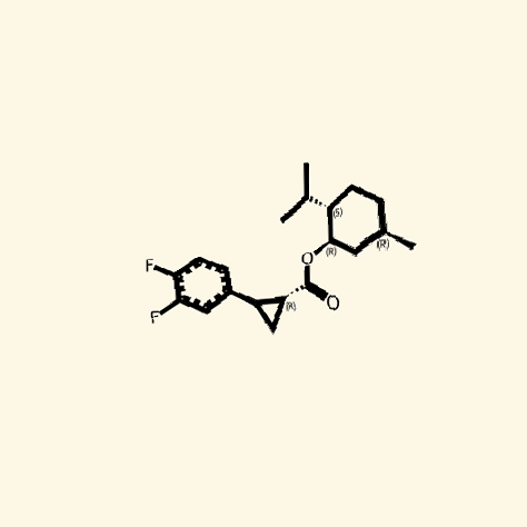 CC(C)[C@@H]1CC[C@@H](C)C[C@H]1OC(=O)[C@@H]1CC1c1ccc(F)c(F)c1